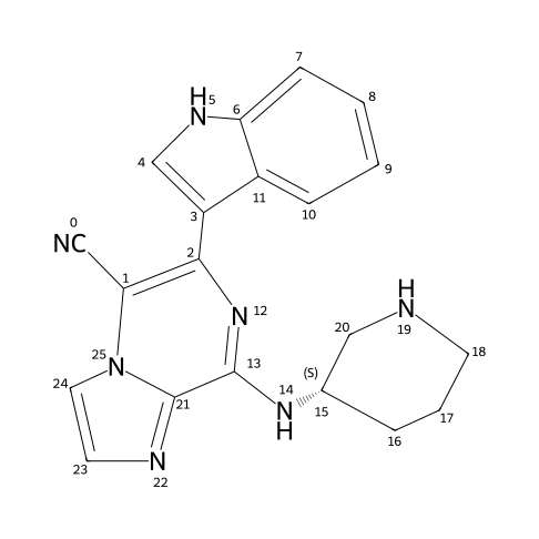 N#Cc1c(-c2c[nH]c3ccccc23)nc(N[C@H]2CCCNC2)c2nccn12